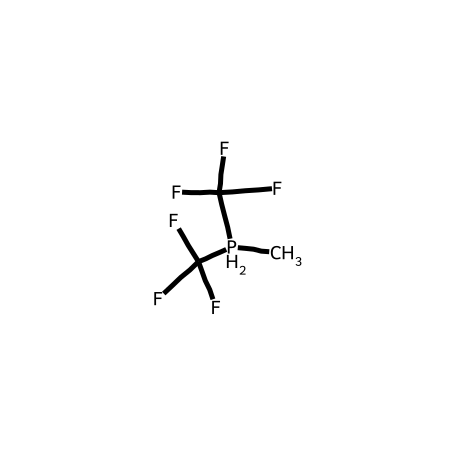 C[PH2](C(F)(F)F)C(F)(F)F